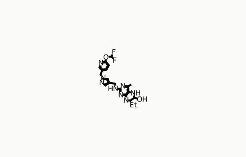 CC[C@H]1C(O)Nc2c(C)nc(NCc3cnn(Cc4ccc(OC(F)F)nc4)c3)nc2N1C